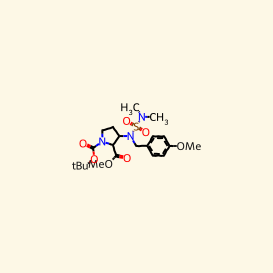 COC(=O)C1C(N(Cc2ccc(OC)cc2)S(=O)(=O)N(C)C)CCN1C(=O)OC(C)(C)C